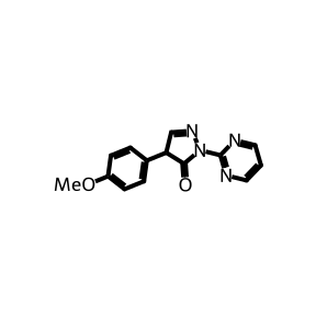 COc1ccc(C2C=NN(c3ncccn3)C2=O)cc1